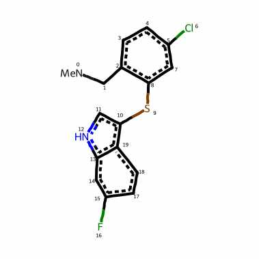 CNCc1ccc(Cl)cc1Sc1c[nH]c2cc(F)ccc12